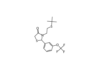 CC(C)(C)SCCN1C(=O)CSC1c1cccc(OC(F)(F)F)c1